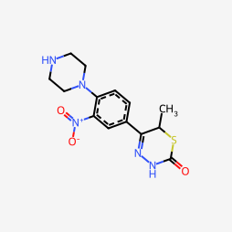 CC1SC(=O)NN=C1c1ccc(N2CCNCC2)c([N+](=O)[O-])c1